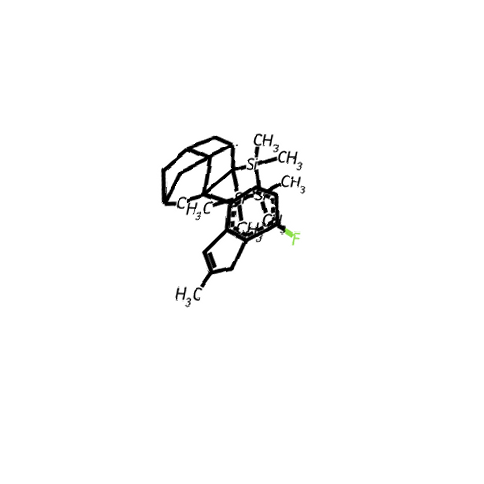 CC1=Cc2c(C34CC5C[C](CC(C5)C3)C43[Si](C)(C)[Si](C)(C)[Si]3(C)C)ccc(F)c2C1